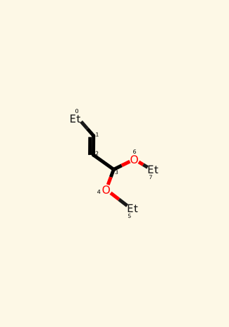 CCC=CC(OCC)OCC